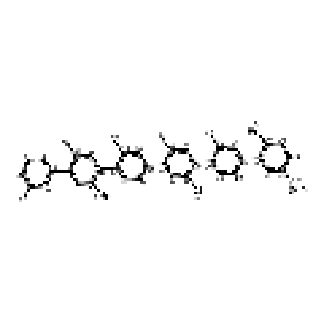 Cc1[c]ccc(-c2cc(Br)c(-c3ccc(-c4cc(Cl)c(-c5ccc(-c6cc(C(F)(F)F)ccc6Br)cc5C)cc4C)cc3C)cc2C)c1